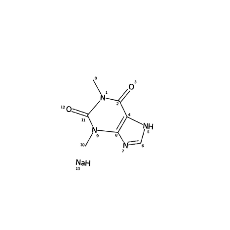 Cn1c(=O)c2[nH]cnc2n(C)c1=O.[NaH]